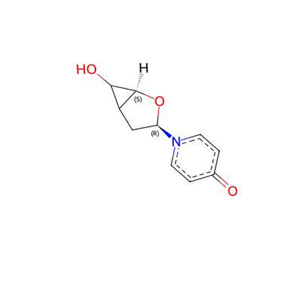 O=c1ccn([C@H]2CC3C(O)[C@H]3O2)cc1